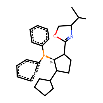 CC(C)C1COC(C2CCC(C3CCCC3)[C@H]2P(c2ccccc2)c2ccccc2)=N1